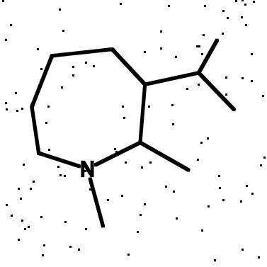 CC(C)C1CCCCN(C)C1C